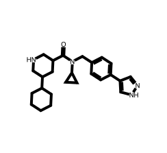 O=C(C1CNCC(C2CCCCC2)C1)N(Cc1ccc(-c2cn[nH]c2)cc1)C1CC1